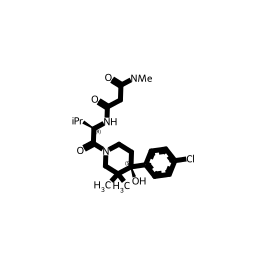 CNC(=O)CC(=O)N[C@@H](C(=O)N1CC[C@](O)(c2ccc(Cl)cc2)C(C)(C)C1)C(C)C